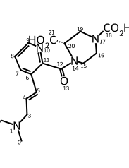 CN(C)C/C=C/c1cccnc1C(=O)N1CCN(C(=O)O)C[C@H]1C(=O)O